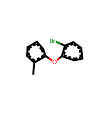 [CH2]c1ccccc1Oc1ccccc1Br